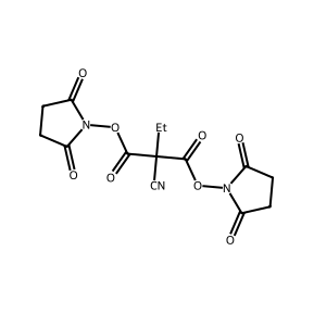 CCC(C#N)(C(=O)ON1C(=O)CCC1=O)C(=O)ON1C(=O)CCC1=O